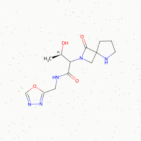 C[C@@H](O)C(C(=O)NCc1nnco1)N1CC2(CCCN2)C1=O